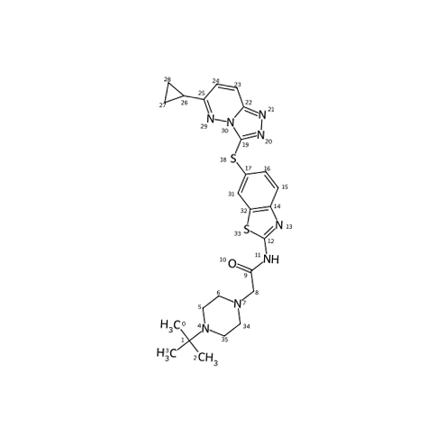 CC(C)(C)N1CCN(CC(=O)Nc2nc3ccc(Sc4nnc5ccc(C6CC6)nn45)cc3s2)CC1